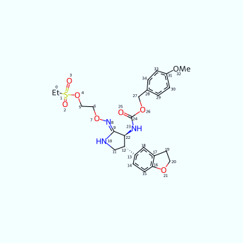 CCS(=O)(=O)OCCO/N=C1\NC[C@@H](c2ccc3c(c2)CCO3)[C@@H]1NC(=O)OCc1ccc(OC)cc1